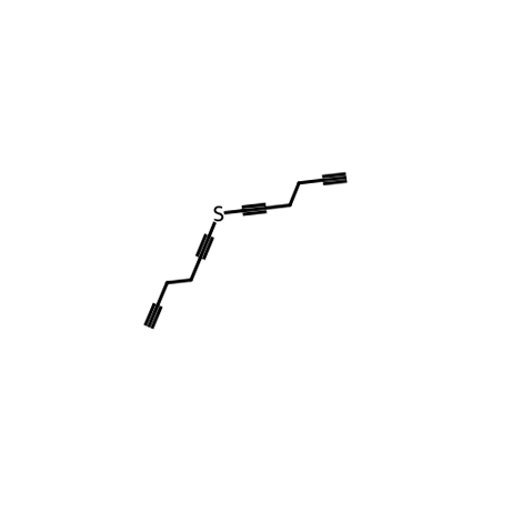 C#CCCC#CSC#CCCC#C